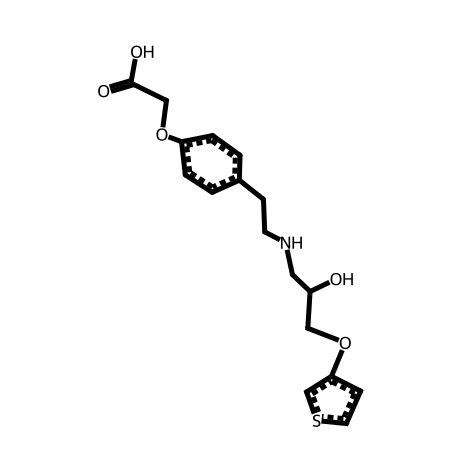 O=C(O)COc1ccc(CCNCC(O)COc2ccsc2)cc1